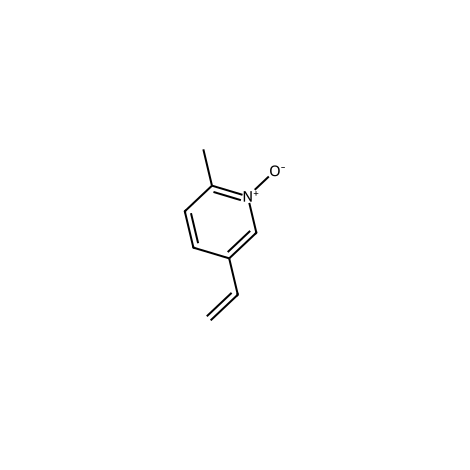 C=Cc1ccc(C)[n+]([O-])c1